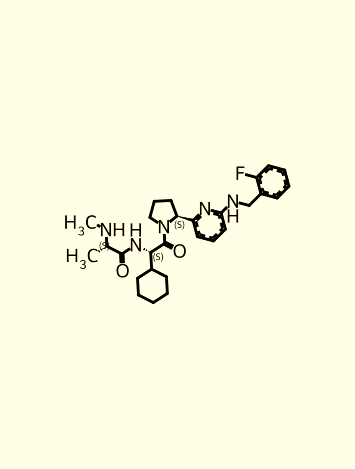 CN[C@@H](C)C(=O)N[C@H](C(=O)N1CCC[C@H]1c1cccc(NCc2ccccc2F)n1)C1CCCCC1